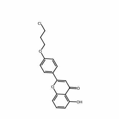 O=c1cc(-c2ccc(OCCCCl)cc2)oc2cccc(O)c12